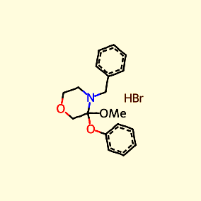 Br.COC1(Oc2ccccc2)COCCN1Cc1ccccc1